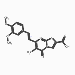 COc1ccc(/C=C/c2nc3sc(C(=O)O)cn3c(=O)c2C)cc1OC